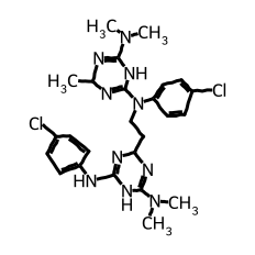 CC1N=C(N(C)C)NC(N(CCC2N=C(Nc3ccc(Cl)cc3)NC(N(C)C)=N2)c2ccc(Cl)cc2)=N1